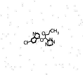 CCCC(=O)C(Oc1ccnc2cc(Cl)ccc12)c1nccnn1